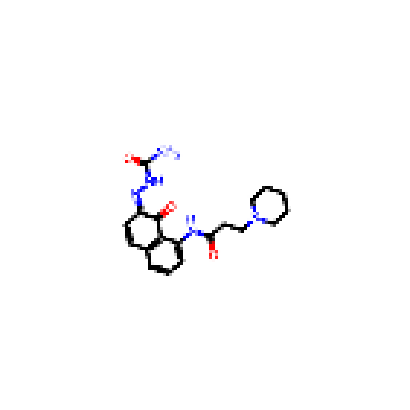 NC(=O)NN=C1C=Cc2cccc(NC(=O)CCN3CCCCC3)c2C1=O